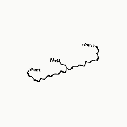 CCCCC/C=C\C/C=C\CCCCCCCCN(CCCCCCCC/C=C\C/C=C\CCCCC)CCNC